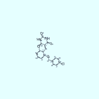 O=C1NC(=O)C(=Cc2ccccc2OCc2ccc(Cl)cc2)C(=O)N1